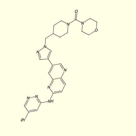 CC(C)c1cnnc(Nc2ccc3ncc(-c4cnn(CC5CCN(C(=O)N6CCOCC6)CC5)c4)cc3n2)c1